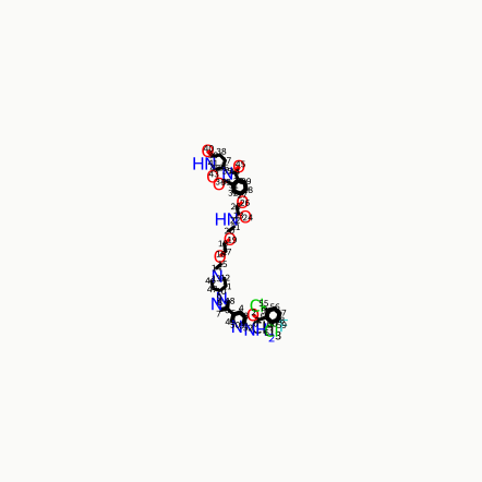 C[C@@H](Oc1cc(-c2cnn(C3CCN(CCOCCOCCNC(=O)COc4ccc5c(c4)C(=O)N(C4CCC(=O)NC4=O)C5=O)CC3)c2)cnc1N)c1c(Cl)ccc(F)c1Cl